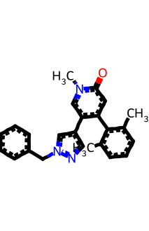 Cc1cccc(C)c1-c1cc(=O)n(C)cc1-c1cnn(Cc2ccccc2)c1